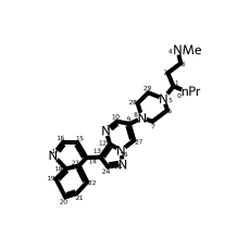 CCCC(CCNC)N1CCN(c2cnc3c(-c4ccnc5ccccc45)cnn3c2)CC1